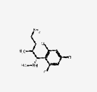 CC(CCN)[C@@H](NO)c1c(Cl)cc(Cl)cc1Cl